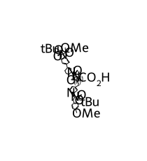 COC(=O)N(C(=O)OC(C)(C)C)c1ccc(C2CCCN(C(=O)N3C(=O)[C@H](Cc4ccnc(N(Cc5ccc(OC)cc5)C(=O)OC(C)(C)C)c4)[C@H]3C(=O)O)C2)cc1